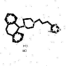 Cl.Cl.c1ccc2c(c1)CCc1ccccc1C2N1CCN(CCCc2nnn[nH]2)CC1